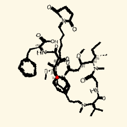 CC[C@H](C)[C@@H]([C@@H](CC(=O)N1CCC[C@H]1[C@H](OC)[C@@H](C)C(=O)N[C@@H](Cc1ccccc1)C(=O)O)OC)N(C)C(=O)CNC(=O)C(C(C)C)N(C)CCc1ccc(N(C)C(=O)CCCCCN2C(=O)C=CC2=O)cc1